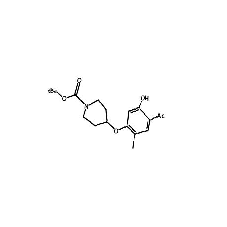 CC(=O)c1cc(C)c(OC2CCN(C(=O)OC(C)(C)C)CC2)cc1O